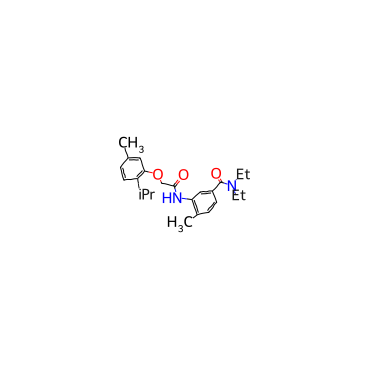 CCN(CC)C(=O)c1ccc(C)c(NC(=O)COc2cc(C)ccc2C(C)C)c1